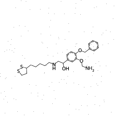 NCOc1cc(C(O)CNCCCCCC2CCSS2)ccc1OCc1ccccc1